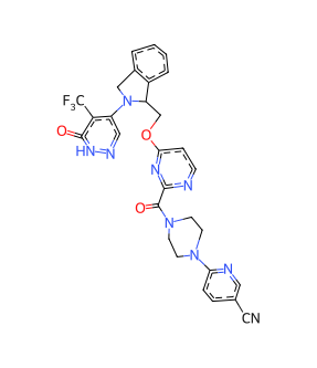 N#Cc1ccc(N2CCN(C(=O)c3nccc(OCC4c5ccccc5CN4c4cn[nH]c(=O)c4C(F)(F)F)n3)CC2)nc1